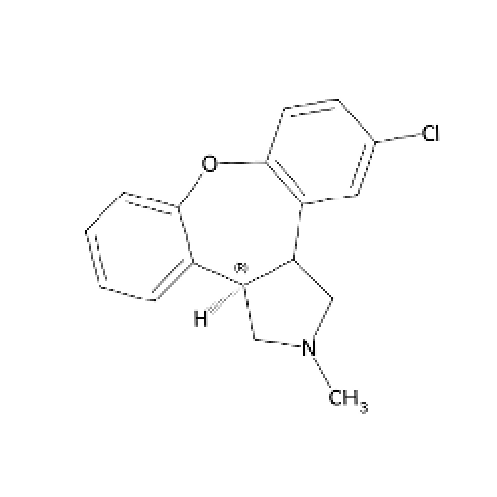 CN1CC2c3cc(Cl)ccc3Oc3ccccc3[C@@H]2C1